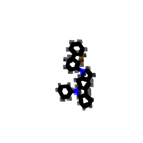 c1ccc(-n2c3ccccc3c3cc4ccn(-c5cccc6c5sc5ccccc56)c4cc32)cc1